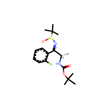 C[C@H](NC(=O)OC(C)(C)C)/C(=N/[S+]([O-])C(C)(C)C)c1ccccc1F